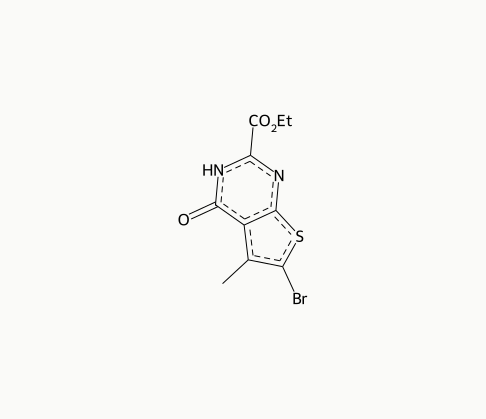 CCOC(=O)c1nc2sc(Br)c(C)c2c(=O)[nH]1